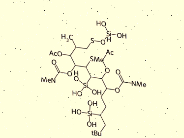 CNC(=O)OC(CCC(CC(C)(C)C)[Si](O)(O)O)C(OCC(C)=O)C(C(SC)C(OC(=O)NC)C(OC(C)=O)C(C)CSO[SiH](O)O)[Si](O)(O)O